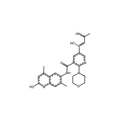 CC(=N)/C=C(\O)c1cnc(N2CCOCC2)c(C(=O)Nc2cc3c(C)cc(O)nc3cc2C)c1